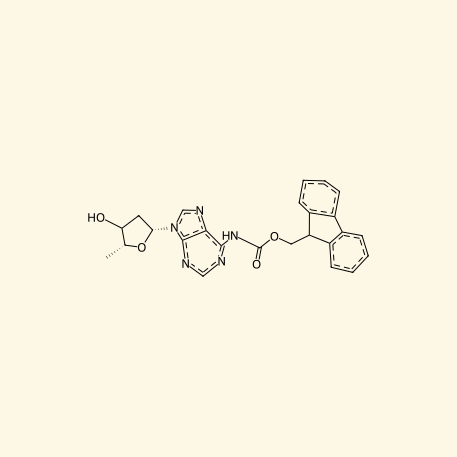 C[C@H]1O[C@@H](n2cnc3c(NC(=O)OCC4c5ccccc5-c5ccccc54)ncnc32)CC1O